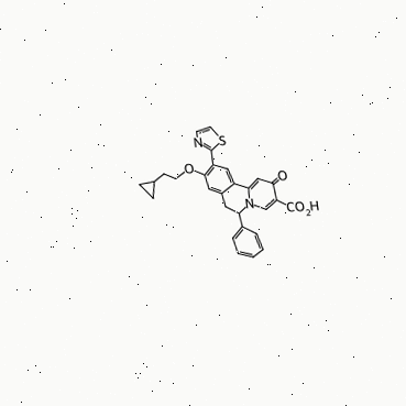 O=C(O)c1cn2c(cc1=O)-c1cc(-c3nccs3)c(OCCC3CC3)cc1CC2c1ccccc1